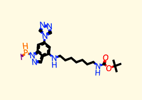 CC(C)(C)OC(=O)NCCCCCCCNc1cc(-n2cnnc2)cc2c1cnn2PI